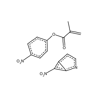 C=C(C)C(=O)Oc1ccc([N+](=O)[O-])cc1.O=[N+]([O-])c1c2ccnc1-2